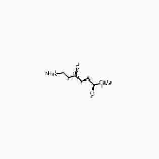 CCCCCCCCC(=O)CCC(=O)OC